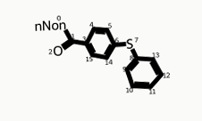 CCCCCCCCCC(=O)c1ccc(Sc2ccccc2)cc1